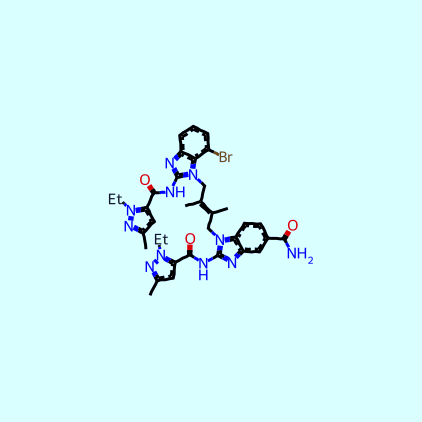 CCn1nc(C)cc1C(=O)Nc1nc2cc(C(N)=O)ccc2n1C/C(C)=C(\C)Cn1c(NC(=O)c2cc(C)nn2CC)nc2cccc(Br)c21